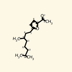 CC(=O)c1ccc(CCC(C)CCCC(C)C)o1